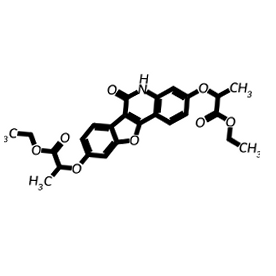 CCOC(=O)C(C)Oc1ccc2c(c1)[nH]c(=O)c1c3ccc(OC(C)C(=O)OCC)cc3oc21